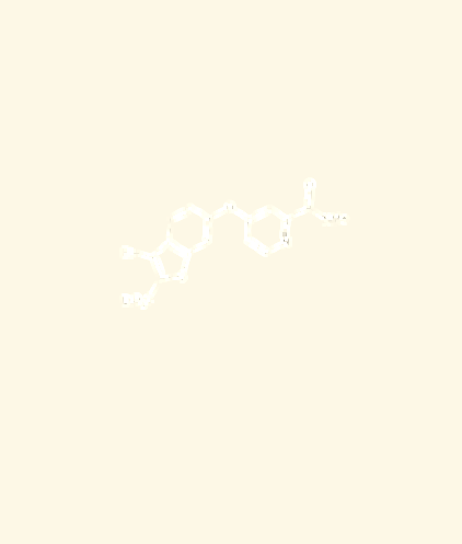 CCOC(=O)c1sc2cc(Oc3ccnc(C(=O)NC)c3)ccc2c1CC